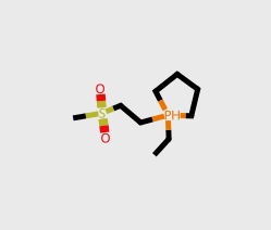 CC[PH]1(CCS(C)(=O)=O)CCCC1